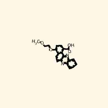 COCCOc1ccc(C(=O)O)c2c1ccc1nc3ccccc3nc12